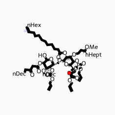 C=CCOC(=O)OC[C@H]1O[C@@H](OC[C@H]2OC(O)[C@H](OC(=O)CC(=O)CCCCCCCCCCC)[C@@H](OCCCCCCCCCC)[C@@H]2OC(=O)OCC=C)[C@H](OC(=O)CCCCCCCCC/C=C\CCCCCC)[C@@H](OCC[C@@H](CCCCCCC)OC)[C@@H]1OP(=O)(OCC=C)OCC=C